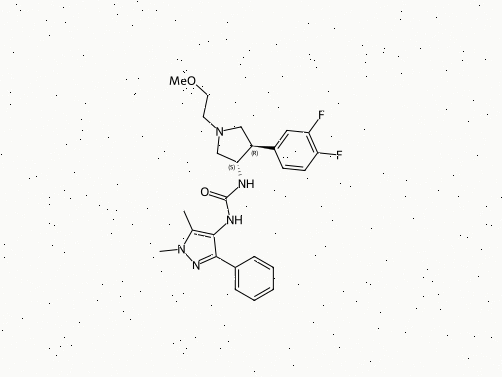 COCCN1C[C@@H](NC(=O)Nc2c(-c3ccccc3)nn(C)c2C)[C@H](c2ccc(F)c(F)c2)C1